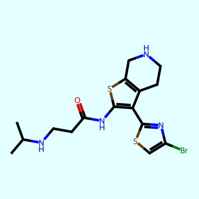 CC(C)NCCC(=O)Nc1sc2c(c1-c1nc(Br)cs1)CCNC2